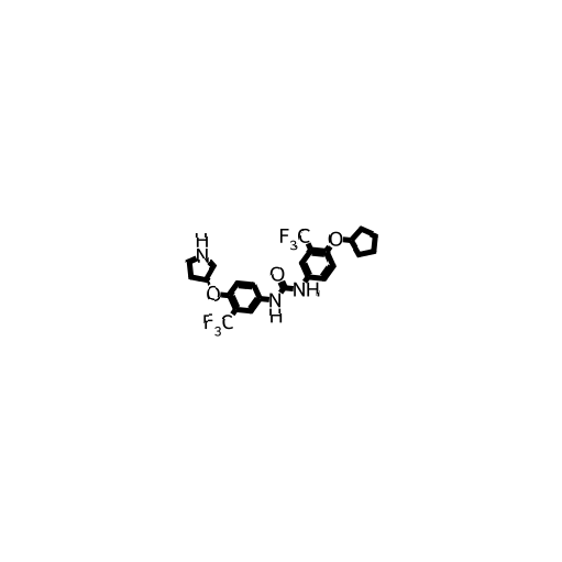 O=C(Nc1ccc(OC2CCCC2)c(C(F)(F)F)c1)Nc1ccc(O[C@@H]2CCNC2)c(C(F)(F)F)c1